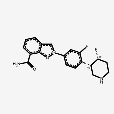 NC(=O)c1cccc2cn(-c3ccc([C@H]4CNCC[C@H]4F)c(F)c3)nc12